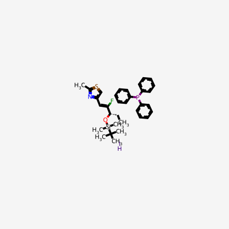 CC[C@H](O[Si](C)(C)C(C)(C)C)/C(F)=C/c1csc(C)n1.I.c1ccc(P(c2ccccc2)c2ccccc2)cc1